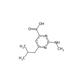 CNc1nc(CC(C)C)cc(C(=O)O)n1